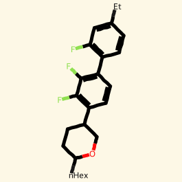 CCCCCCC1CCC(c2ccc(-c3ccc(CC)cc3F)c(F)c2F)CO1